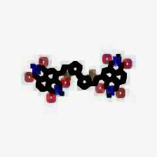 CN1C(=O)c2ccc3c4c(c(-c5cc6c(s5)/C(=C5\CCc7cc(-c8cc9c%10c(ccc%11c%10c8C(=O)N(C)C%11=O)C(=O)N(C)C9=O)sc75)CC6)cc(c24)C1=O)C(=O)N(C)C3=O